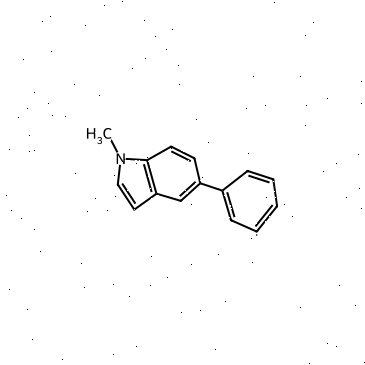 Cn1ccc2cc(-c3c[c]ccc3)ccc21